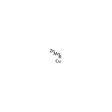 [B].[Cu].[Mn].[Zn]